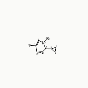 FC1=CN(Br)C(C2CC2)N=C1